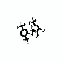 CCn1c(Nc2cc(C(F)(F)F)ccc2C(F)(F)F)nc(C(F)(F)F)cc1=O